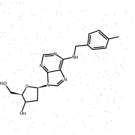 Cc1ccc(CNc2ncnc3c2ncn3[C@H]2CC(O)[C@@H](CO)O2)cc1